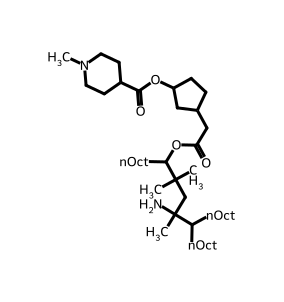 CCCCCCCCC(OC(=O)CC1CCC(OC(=O)C2CCN(C)CC2)C1)C(C)(C)CC(C)(N)C(CCCCCCCC)CCCCCCCC